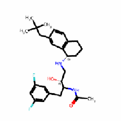 CC(=O)NC(Cc1cc(F)cc(F)c1)[C@H](O)CN[C@H]1CCCc2ccc(CC(C)(C)C)cc21